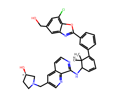 CC1(C)C(c2cccc(-c3nc4cc(CO)cc(Cl)c4o3)c2)=CC=CC1Nc1nccc2cc(CN3CC[C@@H](O)C3)cnc12